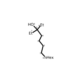 CCCCCCCCCCC(O)(CC)CC